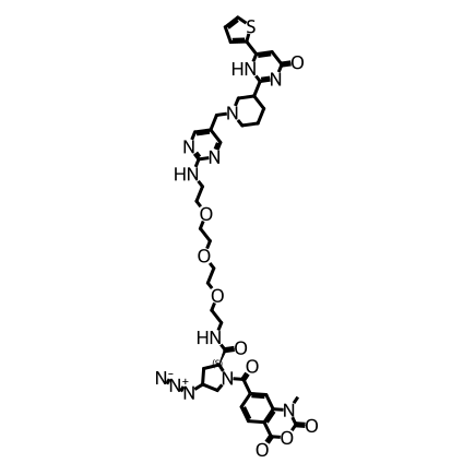 Cn1c(=O)oc(=O)c2ccc(C(=O)N3CC(N=[N+]=[N-])C[C@H]3C(=O)NCCOCCOCCOCCNc3ncc(CN4CCCC(c5nc(=O)cc(-c6cccs6)[nH]5)C4)cn3)cc21